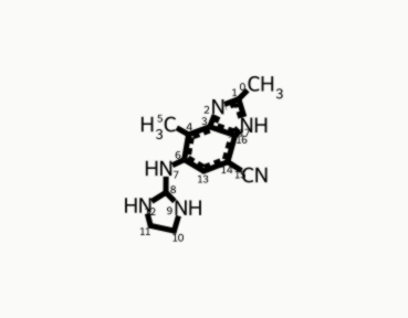 Cc1nc2c(C)c(NC3NCCN3)cc(C#N)c2[nH]1